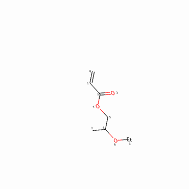 C=CC(=O)OCC(C)OCC